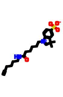 C#CCCCCNC(=O)CCCCC[N+]1=CC(C)(C)c2cc(S(=O)(=O)[O-])ccc21